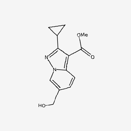 COC(=O)c1c(C2CC2)nn2cc(CO)ccc12